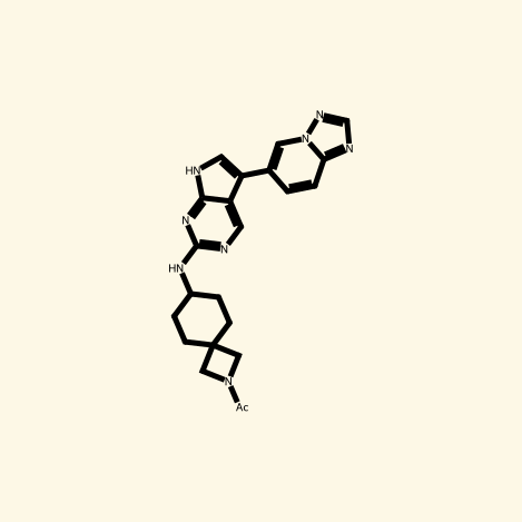 CC(=O)N1CC2(CCC(Nc3ncc4c(-c5ccc6ncnn6c5)c[nH]c4n3)CC2)C1